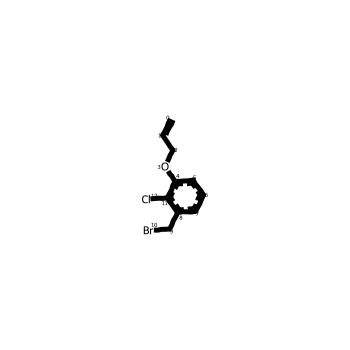 C=CCOc1cccc(CBr)c1Cl